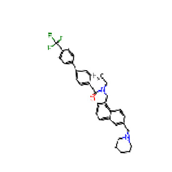 CCN(Cc1cccc2cc(CN3CCCCC3)ccc12)C(=O)c1ccc(-c2ccc(C(F)(F)F)cc2)cc1